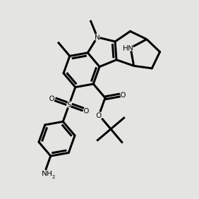 Cc1cc(S(=O)(=O)c2ccc(N)cc2)c(C(=O)OC(C)(C)C)c2c3c(n(C)c12)CC1CCC3N1